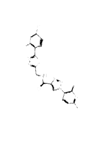 Cc1ccc(-n2cc(C(=O)NCc3nnc(-c4ccc(F)cc4F)s3)nn2)c(C)n1